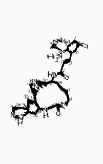 N/N=C\N(N)c1ccc(Cl)cc1/C=C/C(=O)NC1CCCCC(=O)Nc2cc3[nH]ncc3cc2-c2c[nH]c1n2